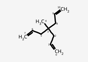 C=CCC(C)(CC=C)CC=C